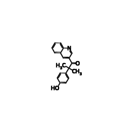 CC(C)(C(=O)c1cnc2ccccc2c1)c1ccc(O)cc1